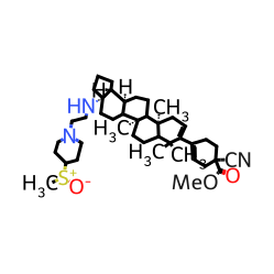 COC(=O)C1(C#N)CC=C(C2=CC[C@@]3(C)C(CC[C@@]4(C)C5CC[C@@]6(NCCN7CCC([S+](C)[O-])CC7)CCC[C@@H]6[C@H]5CCC43)C2(C)C)CC1